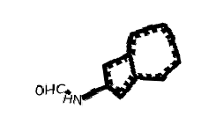 O=CNc1cc2cccccc-2c1